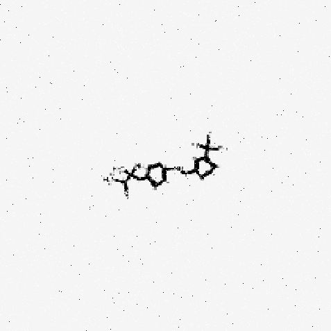 CC(N)(Cc1ccc(NCc2cccc(C(F)(F)F)c2)cc1)C(N)=O